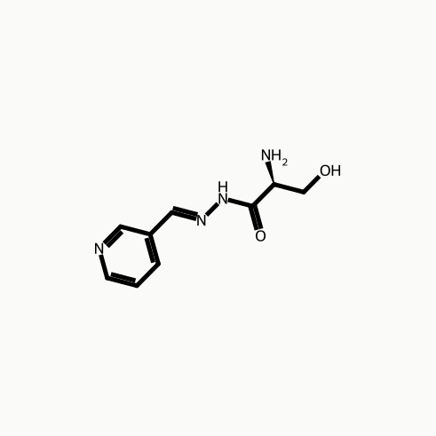 N[C@@H](CO)C(=O)NN=Cc1cccnc1